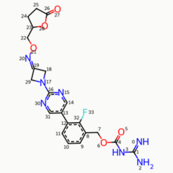 N=C(N)NC(=O)OCc1cccc(-c2cnc(N3CC(=NOCC4CCC(=O)O4)C3)nc2)c1F